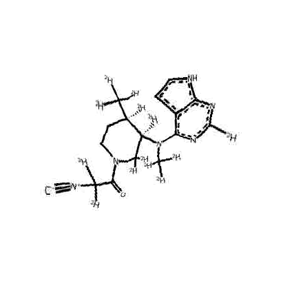 [2H]c1nc(N(C([2H])([2H])[2H])[C@@]2([2H])C([2H])([2H])N(C(=O)C([2H])([2H])[N+]#[C-])CC[C@@]2([2H])C([2H])([2H])[2H])c2cc[nH]c2n1